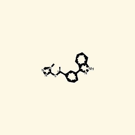 C[C@H](Sc1nncn1C)c1cccc(-c2n[nH]c3ccccc23)c1